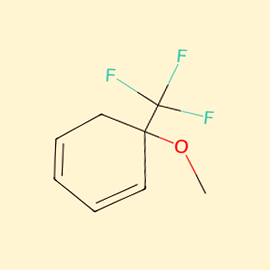 COC1(C(F)(F)F)C=CC=CC1